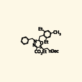 CCCCCCCCCCCCSC(=NN(Cc1ccccc1)C(=O)Cc1c(CC)cc(C)cc1CC)C(=O)OCC